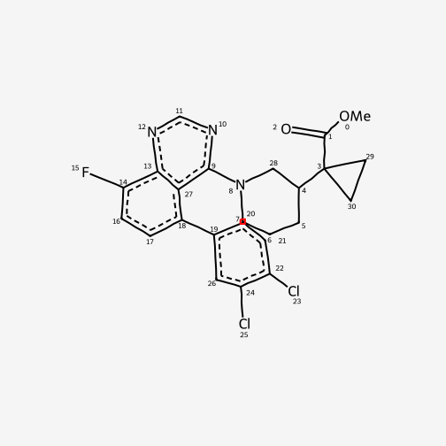 COC(=O)C1(C2CCCN(c3ncnc4c(F)ccc(-c5ccc(Cl)c(Cl)c5)c34)C2)CC1